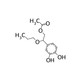 CCCOC(COC(C)=O)c1ccc(O)c(O)c1